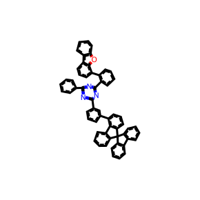 c1ccc(-c2nc(-c3cccc(-c4cccc5c4-c4ccccc4C54c5ccccc5-c5ccccc54)c3)nc(-c3ccccc3-c3cccc4c3oc3ccccc34)n2)cc1